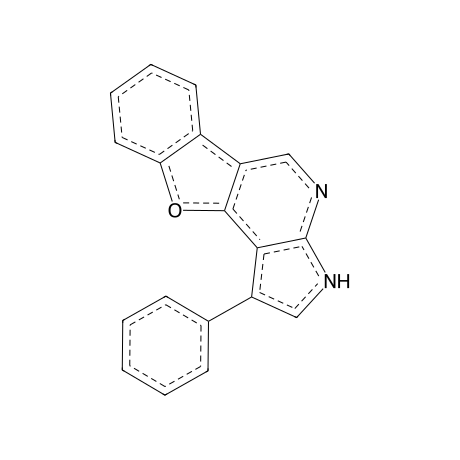 c1ccc(-c2c[nH]c3ncc4c5ccccc5oc4c23)cc1